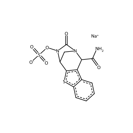 NC(=O)C1c2c(sc3ccccc23)C2CN1C(=O)N2OS(=O)(=O)[O-].[Na+]